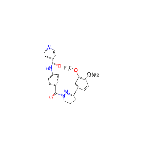 COc1ccc(C2=NN(C(=O)c3ccc(NC(=O)c4ccncc4)cc3)CCC2)cc1OC(F)(F)F